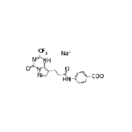 O=C(CCc1cnn2c(=O)nc(C(F)(F)F)[nH]c12)Nc1ccc(C(=O)[O-])cc1.[Na+]